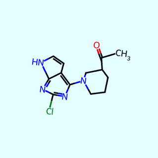 CC(=O)C1CCCN(c2nc(Cl)nc3[nH]ccc23)C1